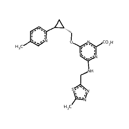 Cc1ccc(C2C[C@@H]2COc2cc(NCc3nnc(C)s3)nc(C(=O)O)n2)nc1